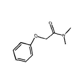 CN(C)C(=O)COc1ccccc1